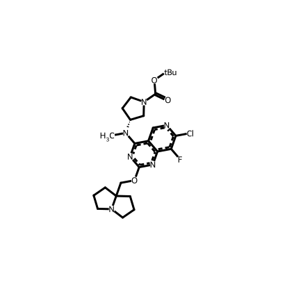 CN(c1nc(OCC23CCCN2CCC3)nc2c(F)c(Cl)ncc12)[C@@H]1CCN(C(=O)OC(C)(C)C)C1